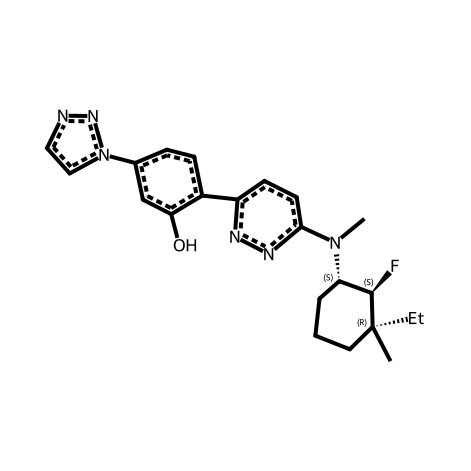 CC[C@]1(C)CCC[C@H](N(C)c2ccc(-c3ccc(-n4ccnn4)cc3O)nn2)[C@H]1F